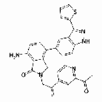 C=C(CN1Cc2c(-c3ccc4[nH]nc(-c5cccs5)c4c3)ccc(N)c2C1=O)c1ccnc(C(C)=O)c1